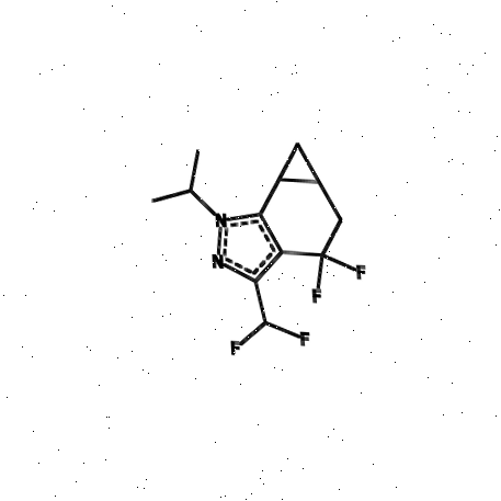 CC(C)n1nc(C(F)F)c2c1C1CC1CC2(F)F